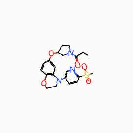 CCC(=O)N1CCC(Oc2ccc3c(c2)N(c2ccc(S(C)(=O)=O)nc2)CCO3)C1